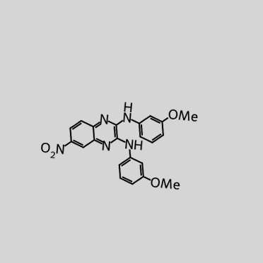 COc1cccc(Nc2nc3ccc([N+](=O)[O-])cc3nc2Nc2cccc(OC)c2)c1